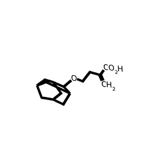 C=C(CCOC1C2CC3CC(C2)CC1C3)C(=O)O